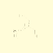 O.O.OCC(O)CO